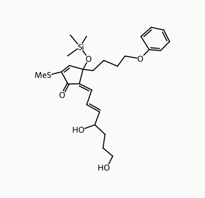 CSC1=CC(CCCCOc2ccccc2)(O[Si](C)(C)C)C(=CC=CC(O)CCCO)C1=O